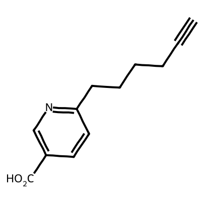 C#CCCCCc1ccc(C(=O)O)cn1